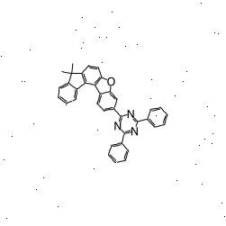 CC1(C)c2ccccc2-c2c1ccc1oc3cc(-c4nc(-c5ccccc5)nc(-c5ccccc5)n4)ccc3c21